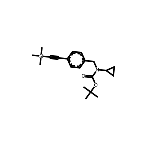 CC(C)(C)OC(=O)N(Cc1ccc(C#C[Si](C)(C)C)cc1)C1CC1